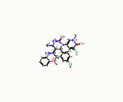 COc1ccccc1N/C(=C1\C(=N)NC(=O)N(c2cc(Cl)c(=O)n(C)c2)C1c1ccc(Cl)cc1C)C(C)C